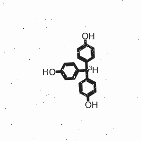 [3H]C(c1ccc(O)cc1)(c1ccc(O)cc1)c1ccc(O)cc1